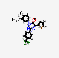 Cc1ccc(N(CCc2ccc(C(F)(F)F)cc2)C(=O)C(N)C2CC=CS2)cc1C